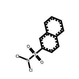 O=S(=O)(c1ccc2ccccc2c1)N(Cl)Cl